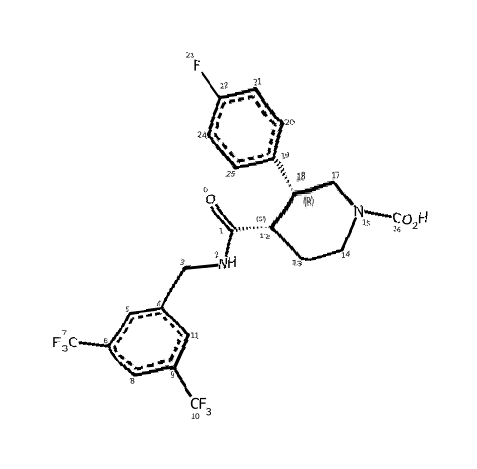 O=C(NCc1cc(C(F)(F)F)cc(C(F)(F)F)c1)[C@H]1CCN(C(=O)O)C[C@H]1c1ccc(F)cc1